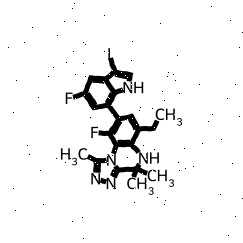 CCc1cc(-c2cc(F)cc3c(I)c[nH]c23)c(F)c2c1NC(C)(C)c1nnc(C)n1-2